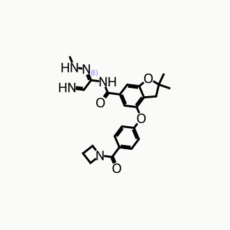 CN/N=C(\C=N)NC(=O)c1cc(Oc2ccc(C(=O)N3CCC3)cc2)c2c(c1)OC(C)(C)C2